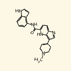 CN1CC=C(c2cnc3ccc(C(=O)Nc4cccc5[nH]ccc45)[nH]c2-3)CC1